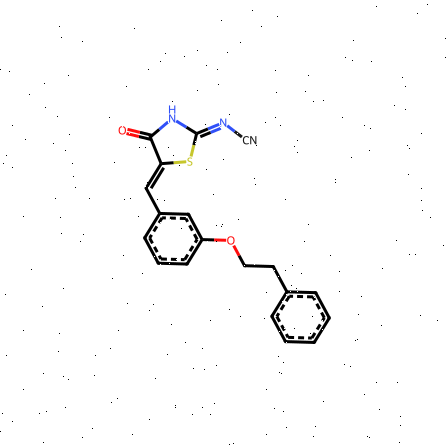 N#CN=C1NC(=O)C(=Cc2cccc(OCCc3ccccc3)c2)S1